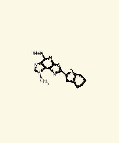 CNc1nc2sc(-c3cc4ccccc4o3)nc2c2c1ncn2C